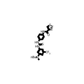 CCCCN(C)c1cc(NC(=S)Nc2ccc(NC(=O)c3csnn3)cc2)cc(C(F)(F)F)c1